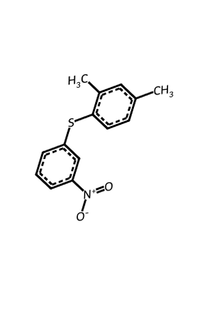 Cc1ccc(Sc2cccc([N+](=O)[O-])c2)c(C)c1